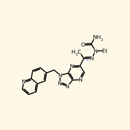 CCN(/N=C(\C)c1cnc2nnn(Cc3ccc4ncccc4c3)c2n1)C(N)=O